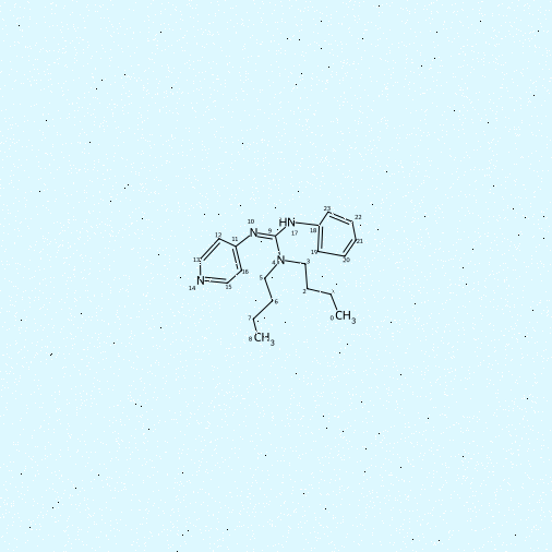 CCCCN(CCCC)C(=Nc1ccncc1)Nc1ccccc1